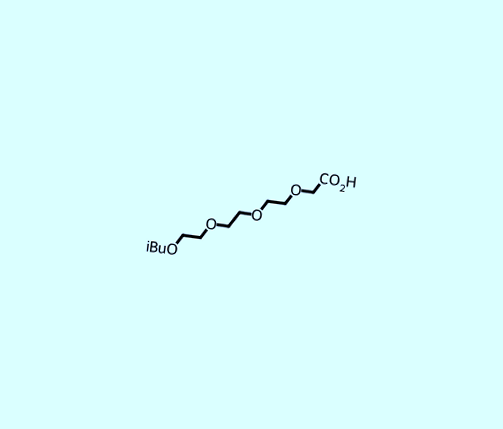 CC(C)COCCOCCOCCOCC(=O)O